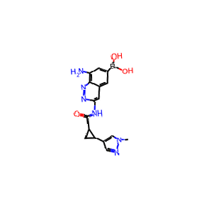 Cn1cc(C2CC2C(=O)Nc2cc3cc(B(O)O)cc(N)c3nn2)cn1